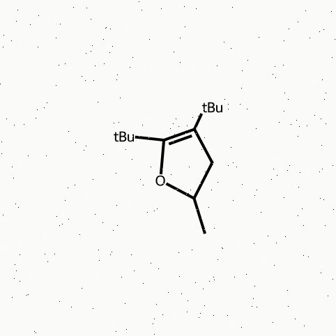 CC1CC(C(C)(C)C)=C(C(C)(C)C)O1